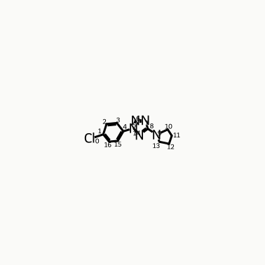 Clc1ccc(-n2nnc(N3CCCC3)n2)cc1